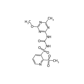 COc1nc(C)nc(NC(=O)NS(=O)(=O)c2cccnc2S(C)(=O)=O)n1